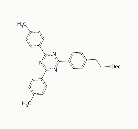 CCCCCCCCCCCCc1ccc(-c2nc(-c3ccc(C)cc3)nc(-c3ccc(C)cc3)n2)cc1